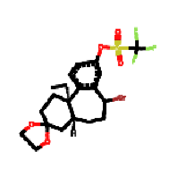 CC[C@@]12CCC3(C[C@@H]1CCC(Br)c1cc(OS(=O)(=O)C(F)(F)F)ccc12)OCCO3